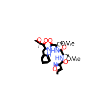 COC[C@H](NC(=O)c1cc(C)on1)C(=O)N[C@@H](COC)C(=O)NC(Cc1ccccc1)C(=O)[C@@]1(C)CO1